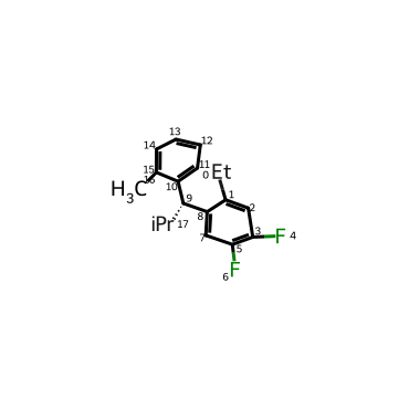 CCc1cc(F)c(F)cc1[C@@H](c1ccccc1C)C(C)C